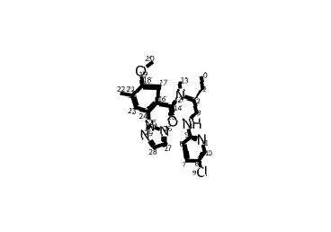 CC[C@@H](CNc1ccc(Cl)cn1)N(C)C(=O)c1cc(OC)c(C)cc1-n1nccn1